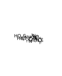 O=C(O)N[C@H](CO)Cc1cc2cnn(S(=O)(=O)c3ccccc3)c2cn1